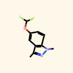 Cc1nn(C)c2ccc(OC(F)F)cc12